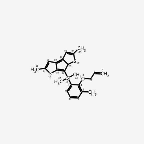 C=CCOc1c(C)cccc1[Si](C)(C)C1=c2sc(C)cc2=C2C=C(C)SC21